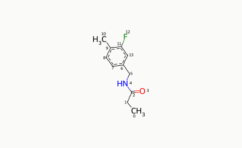 CCC(=O)NCc1ccc(C)c(F)c1